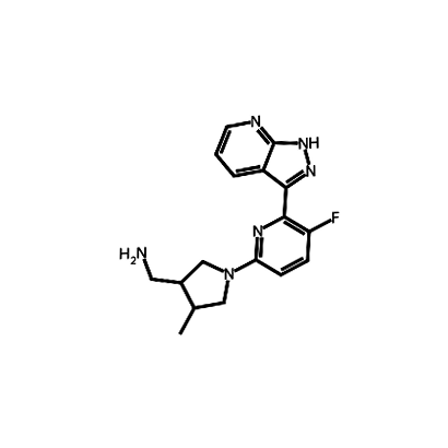 CC1CN(c2ccc(F)c(-c3n[nH]c4ncccc34)n2)CC1CN